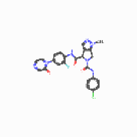 Cn1ncc2c1CN(C(=O)Nc1ccc(Cl)cc1)C2C(=O)Nc1ccc(-n2ccncc2=O)cc1F